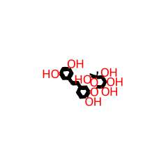 C[C@]1(CO)O[C@@H](Oc2cc(/C=C/c3cc(O)cc(O)c3)ccc2O)[C@H](O)[C@@H](O)[C@@H]1O